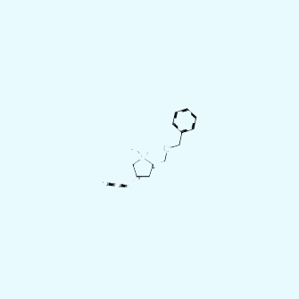 CC(C)(C)[N+]1(C(=O)[O-])C[C@H](N=[N+]=[N-])C[C@@H]1COCc1ccccc1